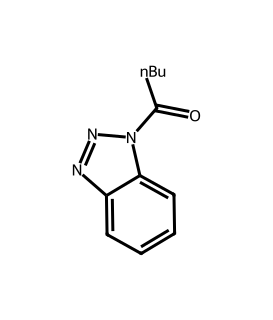 CCCCC(=O)n1nnc2ccccc21